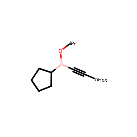 CCCCCCC#CB(OC(C)C)C1CCCC1